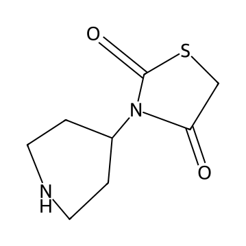 O=C1CSC(=O)N1C1CCNCC1